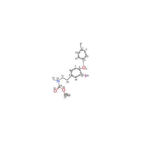 Cc1ccc(Oc2ccc(CCN(C)C(=O)OC(C)(C)C)cc2I)cc1